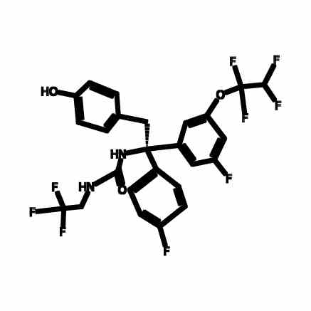 O=C(NCC(F)(F)F)N[C@](Cc1ccc(O)cc1)(c1ccc(F)cc1)c1cc(F)cc(OC(F)(F)C(F)F)c1